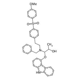 COc1ccc(S(=O)(=O)c2ccc(CCN(Cc3ccccc3)C(Oc3cccc4[nH]c5ccccc5c34)C(C)O)cc2)cc1